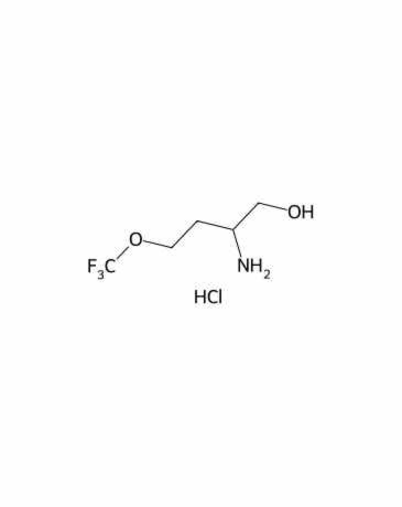 Cl.NC(CO)CCOC(F)(F)F